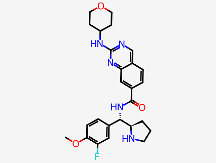 COc1ccc([C@H](NC(=O)c2ccc3cnc(NC4CCOCC4)nc3c2)[C@H]2CCCN2)cc1F